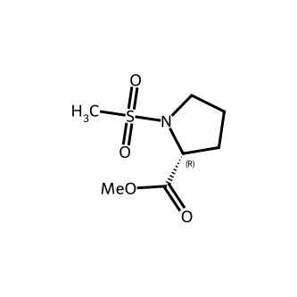 COC(=O)[C@H]1CCCN1S(C)(=O)=O